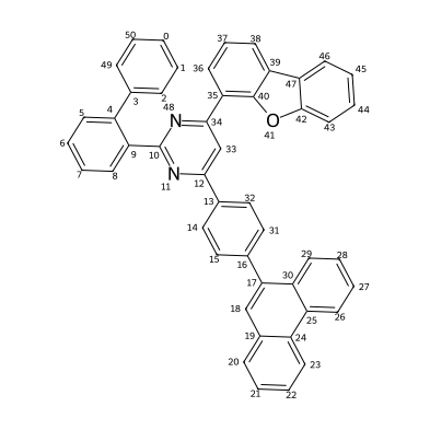 c1ccc(-c2ccccc2-c2nc(-c3ccc(-c4cc5ccccc5c5ccccc45)cc3)cc(-c3cccc4c3oc3ccccc34)n2)cc1